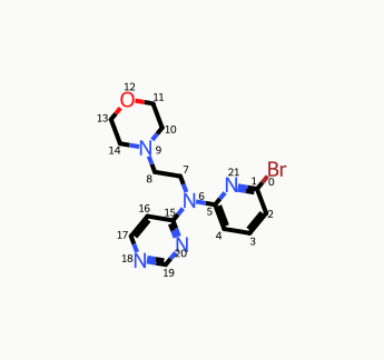 Brc1cccc(N(CCN2CCOCC2)c2ccncn2)n1